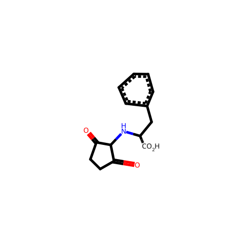 O=C(O)C(Cc1ccccc1)NC1C(=O)CCC1=O